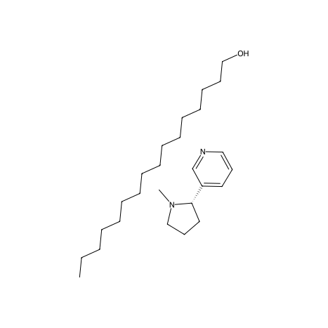 CCCCCCCCCCCCCCCCO.CN1CCC[C@H]1c1cccnc1